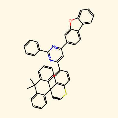 CC1(C)c2ccccc2C2(c3ccccc3Sc3ccc(-c4cc(-c5ccc6c(c5)oc5ccccc56)nc(-c5ccccc5)n4)cc32)c2ccccc21